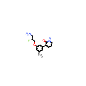 Cc1cc(OC[C@H](F)CN)cc(-c2ccc[nH]c2=O)c1